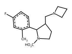 Cc1cc(F)ccc1C1C(CN2CCC2)CCN1C(=O)O